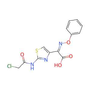 O=C(CCl)Nc1nc(C(=NOc2ccccc2)C(=O)O)cs1